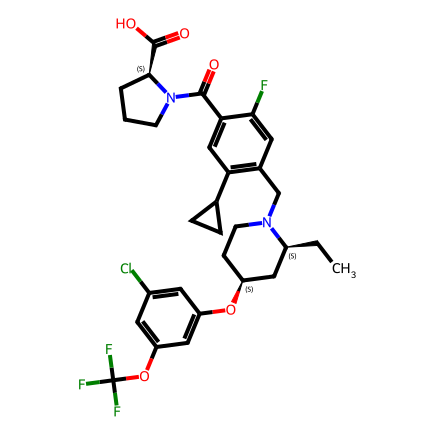 CC[C@H]1C[C@@H](Oc2cc(Cl)cc(OC(F)(F)F)c2)CCN1Cc1cc(F)c(C(=O)N2CCC[C@H]2C(=O)O)cc1C1CC1